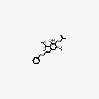 C=C(C)CCc1c(OC)cc(C=CCCc2ccccc2)c(C(=O)OC)c1O